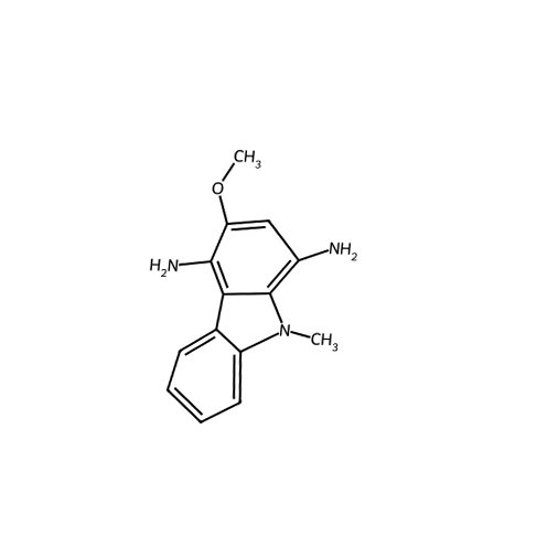 COc1cc(N)c2c(c1N)c1ccccc1n2C